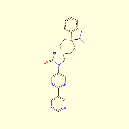 CN(C)[C@]1(c2ccccc2)CC[C@]2(CC1)CN(c1cnc(-c3cncnc3)nc1)C(=O)N2